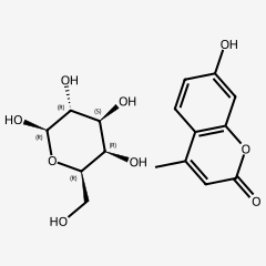 Cc1cc(=O)oc2cc(O)ccc12.OC[C@H]1O[C@@H](O)[C@H](O)[C@@H](O)[C@H]1O